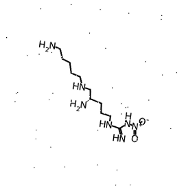 N=C(NCCC[C@H](N)CNCCCCCN)N[N+](=O)[O-]